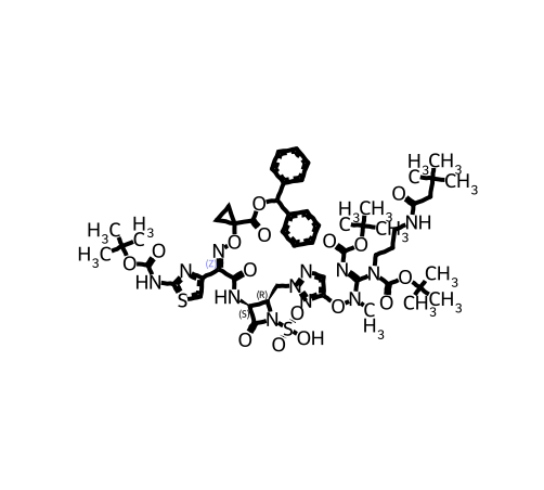 CN(Oc1cnn(C[C@@H]2[C@H](NC(=O)/C(=N\OC3(C(=O)OC(c4ccccc4)c4ccccc4)CC3)c3csc(NC(=O)OC(C)(C)C)n3)C(=O)N2S(=O)(=O)O)n1)C(=NC(=O)OC(C)(C)C)N(CCCNC(=O)CC(C)(C)C)C(=O)OC(C)(C)C